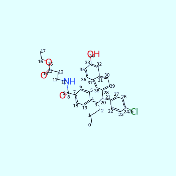 CCC[C@H](c1ccc(C(=O)NCCC(=O)OCC)cc1)C(c1ccc(Cl)cc1)c1ccc2cc(O)ccc2c1